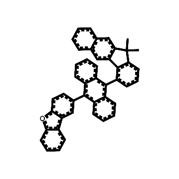 CC1(C)c2cc3ccccc3cc2-c2c(-c3c4ccccc4c(-c4ccc5oc6ccccc6c5c4)c4ccccc34)cccc21